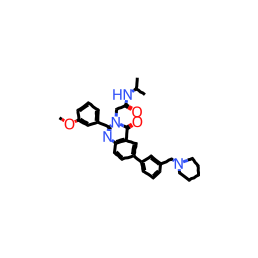 COc1cccc(-c2nc3ccc(-c4cccc(CN5CCCCC5)c4)cc3c(=O)n2CC(=O)NC(C)C)c1